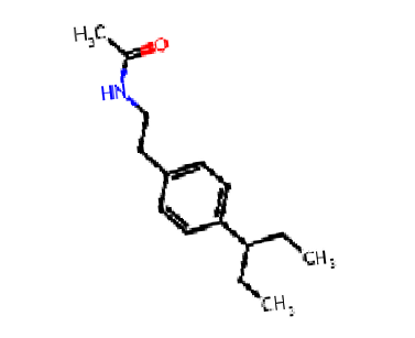 CCC(CC)c1ccc(CCNC(C)=O)cc1